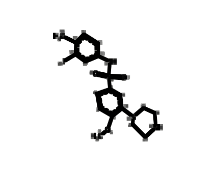 COc1ccc(S(=O)(=O)Nc2ccc(C)c(I)c2)cc1N1CCNCC1